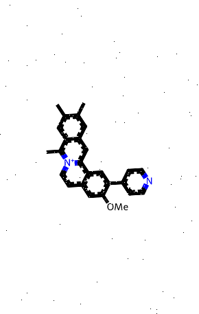 COc1cc2cc[n+]3c(C)c4cc(C)c(C)cc4cc3c2cc1-c1ccncc1